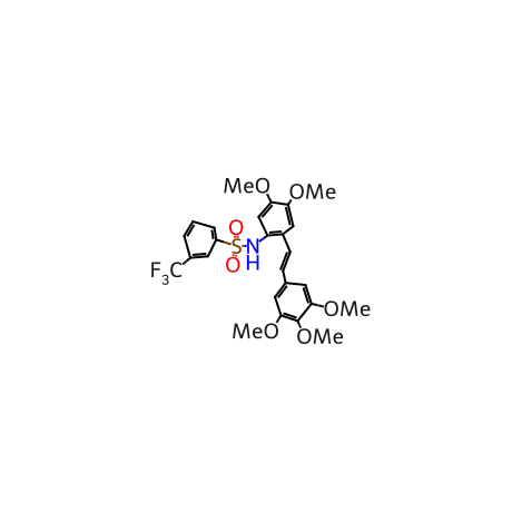 COc1cc(C=Cc2cc(OC)c(OC)c(OC)c2)c(NS(=O)(=O)c2cccc(C(F)(F)F)c2)cc1OC